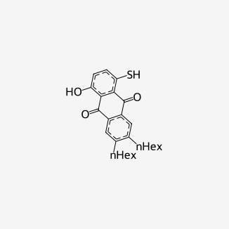 CCCCCCc1cc2c(cc1CCCCCC)C(=O)c1c(S)ccc(O)c1C2=O